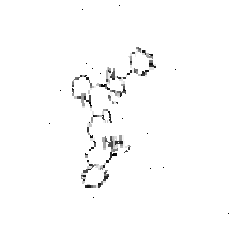 N[C@@H](CC(=O)N1CCC[C@H]1c1nc(-c2ccccc2)co1)Cc1ccccc1F